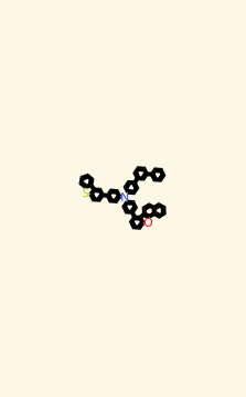 c1ccc(-c2cccc(-c3ccc(N(c4ccc(-c5ccc6sc7ccccc7c6c5)cc4)c4ccc(-c5cccc6oc7c8ccccc8ccc7c56)cc4)cc3)c2)cc1